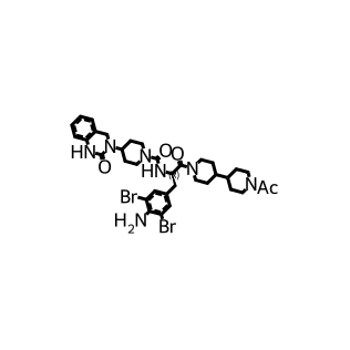 CC(=O)N1CCC(C2CCN(C(=O)[C@@H](Cc3cc(Br)c(N)c(Br)c3)NC(=O)N3CCC(N4Cc5ccccc5NC4=O)CC3)CC2)CC1